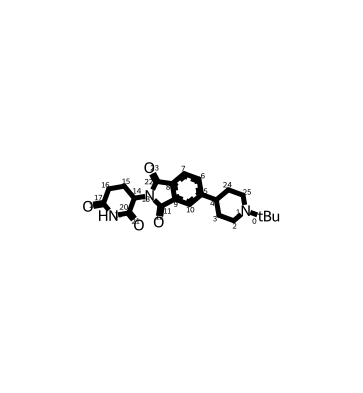 CC(C)(C)N1CCC(c2ccc3c(c2)C(=O)N(C2CCC(=O)NC2=O)C3=O)CC1